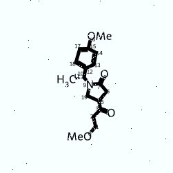 COCCC(=O)C1CC(=O)N([C@H](C)c2ccc(OC)cc2)C1